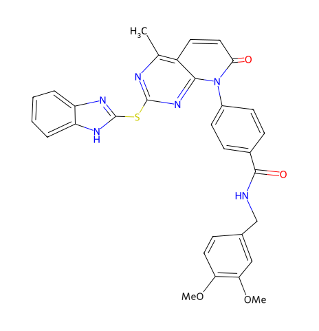 COc1ccc(CNC(=O)c2ccc(-n3c(=O)ccc4c(C)nc(Sc5nc6ccccc6[nH]5)nc43)cc2)cc1OC